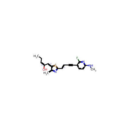 C=c1nc(/C=C/C#Cc2ccc(NC)nc2F)s/c1=C/C(O)=C\CC